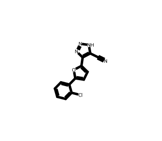 N#Cc1[nH]nnc1-c1ccc(-c2ccccc2Cl)o1